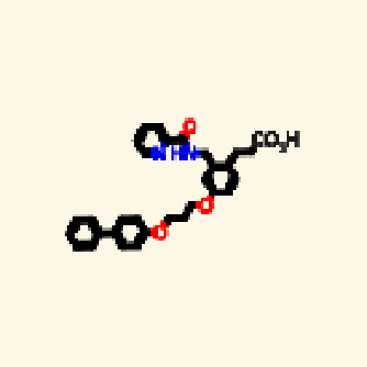 O=C(O)CCc1ccc(OCCCOc2ccc(-c3ccccc3)cc2)cc1CNC(=O)c1ccccn1